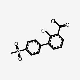 CS(=O)(=O)c1ccc(-c2cccc(C(=O)Cl)c2Cl)cc1